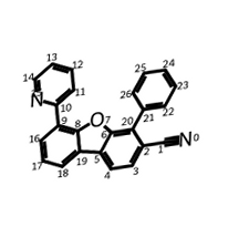 N#Cc1ccc2c(oc3c(-c4ccccn4)cccc32)c1-c1ccccc1